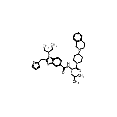 CCC(CC)n1c(Cc2cccs2)nc2cc(C(=O)N[C@@H](CC(C)C)C(=O)N3CCC(N4CCc5ccccc5C4)CC3)ccc21